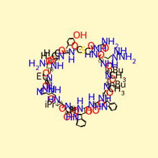 CCCC[C@H]1C(=O)N(C)[C@@H](CCCC)C(=O)N[C@@H](CCCNC(=N)N)C(=O)NC(C(=O)NCC(N)=O)CSCC(=O)N[C@@H](Cc2ccc(O)cc2)C(=O)N(C)[C@@H](C)C(=O)N[C@@H](CC(N)=O)C(=O)N[C@]2(C[C@@H]2CC)C(=O)NC(Cc2cnc[nH]2)C(=O)N[C@@H](CC(C)C)C(=O)N2C[C@H](O)C[C@H]2C(=O)NC(Cc2c[nH]c3ccccc23)C(=O)N[C@@H](CO)C(=O)N[C@@H](Cc2c[nH]c3ccccc23)C(=O)N1C